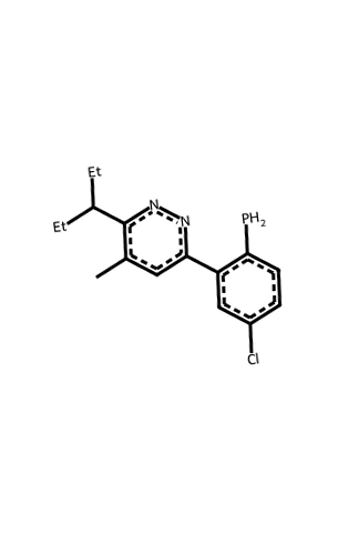 CCC(CC)c1nnc(-c2cc(Cl)ccc2P)cc1C